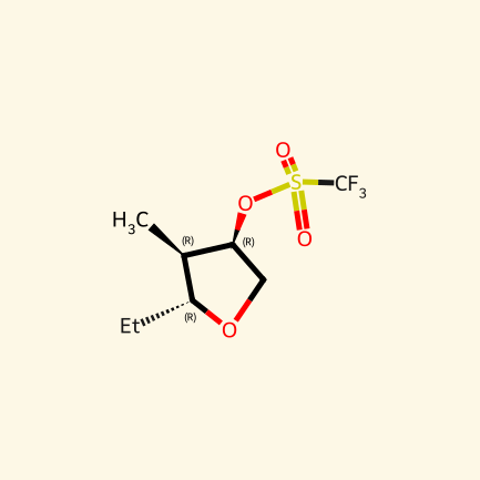 CC[C@H]1OC[C@H](OS(=O)(=O)C(F)(F)F)[C@@H]1C